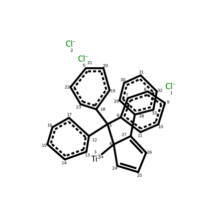 [Cl-].[Cl-].[Cl-].[Ti+3][C]1(C(c2ccccc2)(c2ccccc2)c2ccccc2)C=CC=C1c1ccccc1